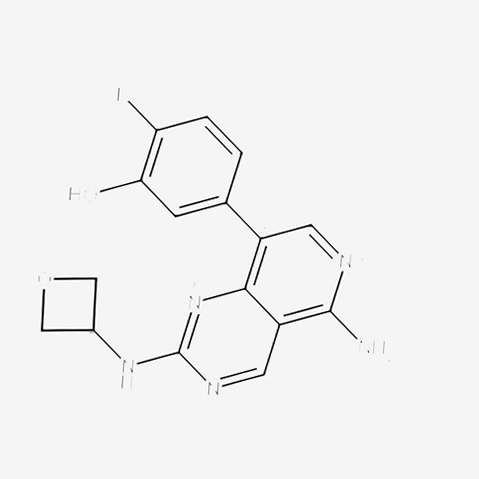 Nc1ncc(-c2ccc(F)c(O)c2)c2nc(NC3COC3)ncc12